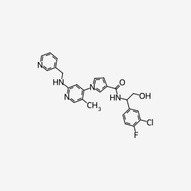 Cc1cnc(NCc2cccnc2)cc1-n1ccc(C(=O)NC(CO)c2ccc(F)c(Cl)c2)c1